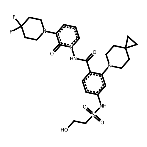 O=C(Nn1cccc(N2CCC(F)(F)CC2)c1=O)c1ccc(NS(=O)(=O)CCO)cc1N1CCC2(CC1)CC2